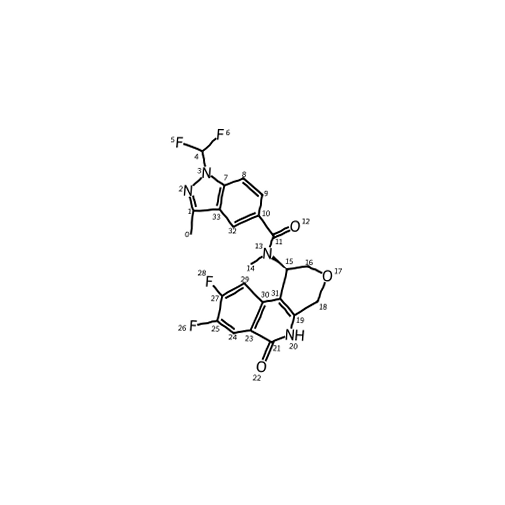 Cc1nn(C(F)F)c2ccc(C(=O)N(C)[C@H]3COCc4[nH]c(=O)c5cc(F)c(F)cc5c43)cc12